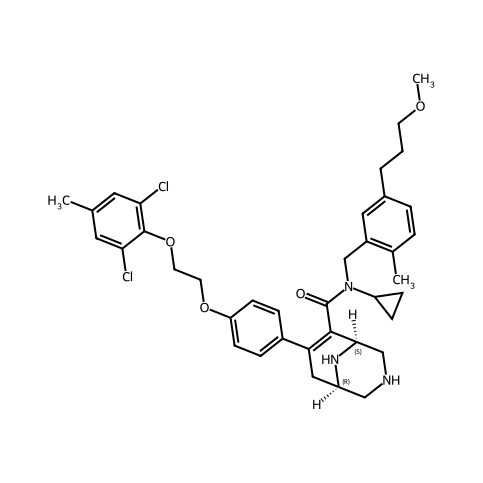 COCCCc1ccc(C)c(CN(C(=O)C2=C(c3ccc(OCCOc4c(Cl)cc(C)cc4Cl)cc3)C[C@@H]3CNC[C@H]2N3)C2CC2)c1